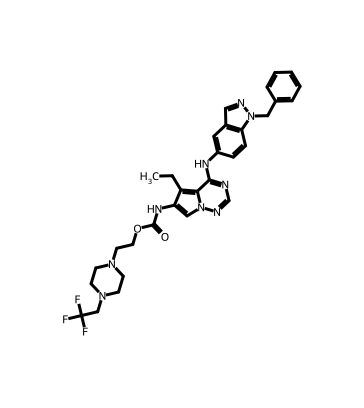 CCc1c(NC(=O)OCCN2CCN(CC(F)(F)F)CC2)cn2ncnc(Nc3ccc4c(cnn4Cc4ccccc4)c3)c12